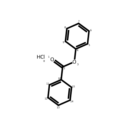 Cl.O=C(Oc1ccccc1)c1ccccc1